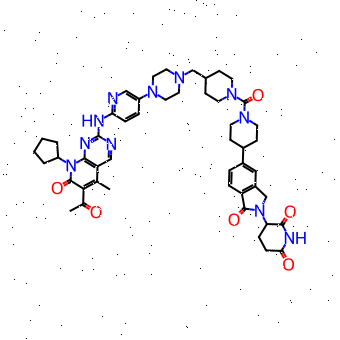 CC(=O)c1c(C)c2cnc(Nc3ccc(N4CCN(CC5CCN(C(=O)N6CCC(c7ccc8c(c7)CN(C7CCC(=O)NC7=O)C8=O)CC6)CC5)CC4)cn3)nc2n(C2CCCC2)c1=O